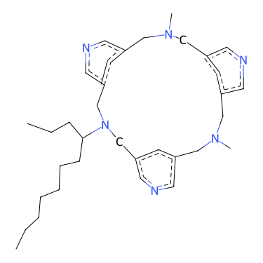 CCCCCCCC(CCC)N1Cc2cncc(c2)CN(C)Cc2cncc(c2)CN(C)Cc2cncc(c2)C1